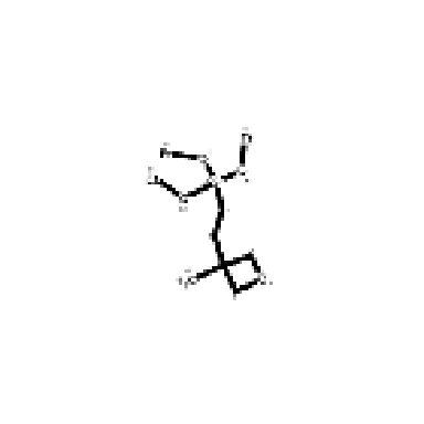 CCO[Si](CCC1(C)COC1)(OCC)OCC